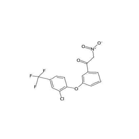 O=C(C[N+](=O)[O-])c1cccc(Oc2ccc(C(F)(F)F)cc2Cl)c1